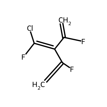 C=C(F)C(C(=C)F)=C(F)Cl